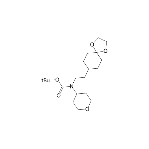 CC(C)(C)OC(=O)N(CCC1CCC2(CC1)OCCO2)C1CCOCC1